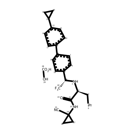 CC(C)C[C@H](N[C@@H](c1ccc(-c2ccc(C3CC3)cc2)cc1)C(F)(F)F)C(=O)NC1(C#N)CC1.O=C(O)O